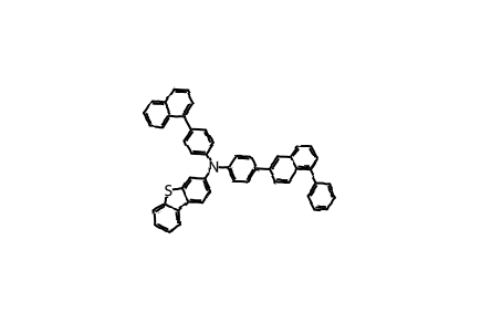 c1ccc(-c2cccc3cc(-c4ccc(N(c5ccc(-c6cccc7ccccc67)cc5)c5ccc6c(c5)sc5ccccc56)cc4)ccc23)cc1